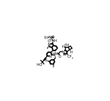 CCNS(=O)(=O)Nc1nn(C)c2c(-c3ccc(C#CC(C)(C)O)nc3[C@H](Cc3cc(F)cc(F)c3)NC(=O)Cn3nc(C(F)(F)F)c4c3C(F)(F)[C@@H]3CC[C@H]43)cccc12